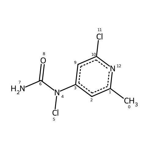 Cc1cc(N(Cl)C(N)=O)cc(Cl)n1